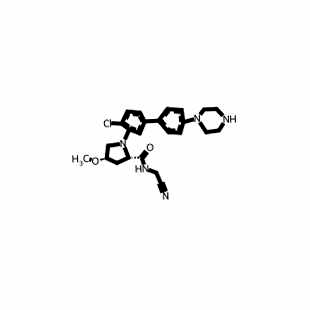 CO[C@H]1C[C@@H](C(=O)NCC#N)N(c2cc(-c3ccc(N4CCNCC4)cc3)ccc2Cl)C1